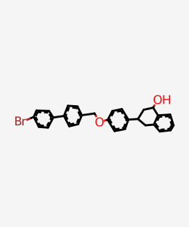 OC1CC(c2ccc(OCc3ccc(-c4ccc(Br)cc4)cc3)cc2)Cc2ccccc21